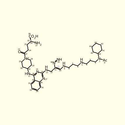 CC(=O)N(CCCNCCCN/C=C(/CNc1nc(NC2CCN(C(=O)CC[C@H](N)C(=O)O)CC2)c2ccccc2n1)N=N)C1CCCCC1